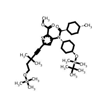 COC(=O)c1sc(C#CC(C)(C)CCO[Si](C)(C)C)cc1N(C(=O)[C@H]1CC[C@H](C)CC1)[C@H]1CC[C@H](O[Si](C)(C)C(C)(C)C)CC1